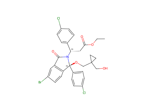 CCOC(=O)C[C@@H](c1ccc(Cl)cc1)N1C(=O)c2cc(Br)ccc2[C@@]1(OCC1(CO)CC1)c1ccc(Cl)cc1